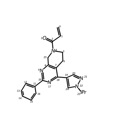 C=CC(=O)N1CCc2c(nc(-c3ccccc3)nc2-c2cnn(C(C)C)c2)C1